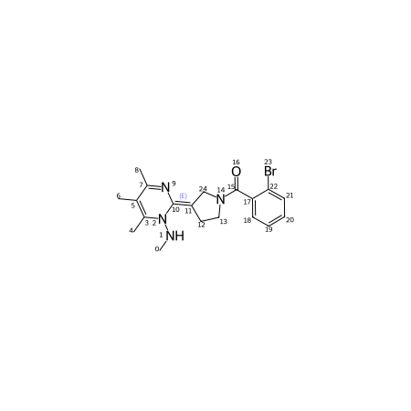 CNN1C(C)=C(C)C(C)=N/C1=C1/CCN(C(=O)c2ccccc2Br)C1